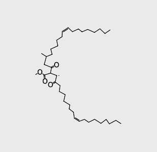 CCCCCCCC/C=C\CCCCCCCC(=O)[CH]C(C(=O)CC(C)CCCCC/C=C\CCCCCCCC)C(=O)OC